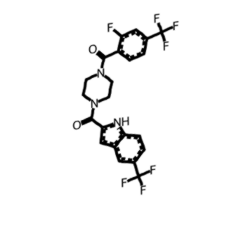 O=C(c1cc2cc(C(F)(F)F)ccc2[nH]1)N1CCN(C(=O)c2ccc(C(F)(F)F)cc2F)CC1